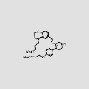 COCCCOc1ccc(C2CCNC[C@@H]2OCc2ccc3c(c2)N(CCCOC)CCO3)cc1